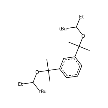 CCC(OC(C)(C)c1cccc(C(C)(C)OC(CC)C(C)(C)C)c1)C(C)(C)C